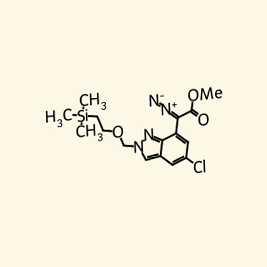 COC(=O)C(=[N+]=[N-])c1cc(Cl)cc2cn(COCC[Si](C)(C)C)nc12